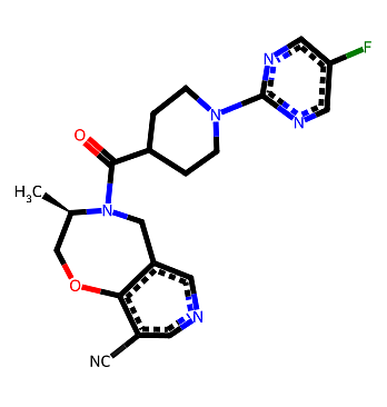 C[C@@H]1COc2c(C#N)cncc2CN1C(=O)C1CCN(c2ncc(F)cn2)CC1